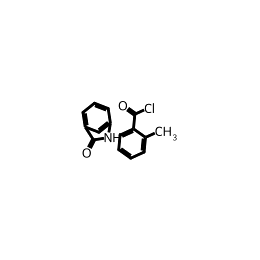 Cc1ccccc1C(=O)Cl.O=C1Nc2cccc1c2